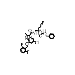 Cc1nc2c(OCc3c(F)cccc3F)cc(Cl)cn2c1C(=O)NCC(C)(CCCF)NC(=O)OCc1ccccc1